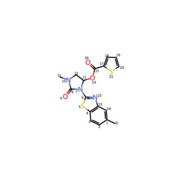 Cc1ccc2sc(N3C(=O)N(C)CC3OC(=O)c3cccs3)nc2c1